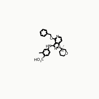 Cc1cc(Nc2nn([C@]3(C)CCCOC3)c3ccnc(OCc4ccccc4)c23)ccc1C(=O)O